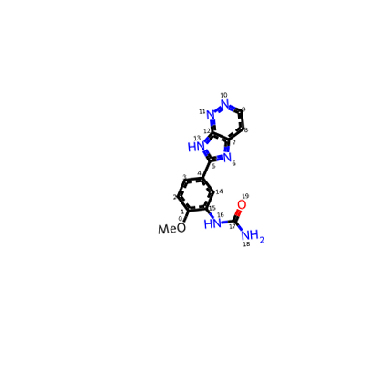 COc1ccc(-c2nc3ccnnc3[nH]2)cc1NC(N)=O